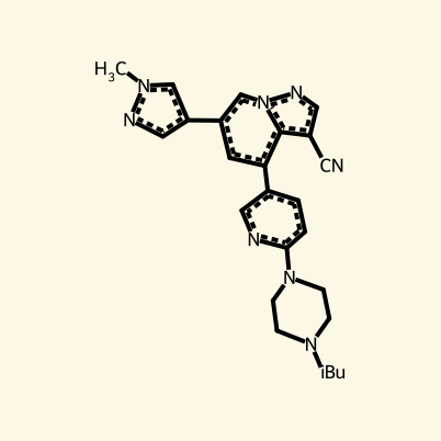 CCC(C)N1CCN(c2ccc(-c3cc(-c4cnn(C)c4)cn4ncc(C#N)c34)cn2)CC1